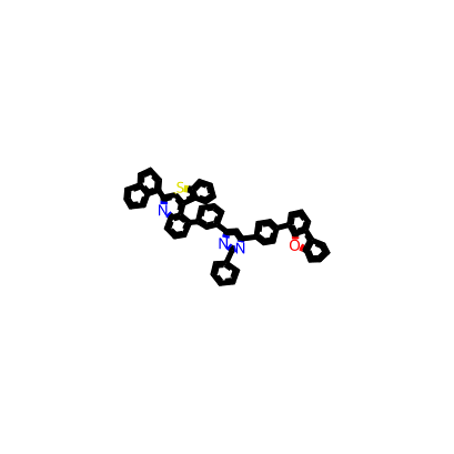 c1ccc(-c2nc(-c3ccc(-c4cccc5c4oc4ccccc45)cc3)cc(-c3cccc(-c4cccc5nc(-c6cccc7ccccc67)c6sc7ccccc7c6c45)c3)n2)cc1